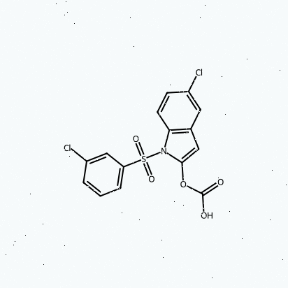 O=C(O)Oc1cc2cc(Cl)ccc2n1S(=O)(=O)c1cccc(Cl)c1